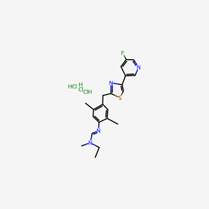 CCN(C)C=Nc1cc(C)c(Cc2nc(-c3cncc(F)c3)cs2)cc1C.Cl.Cl.Cl